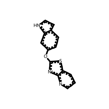 c1cnc2nc(Oc3ccc4cc[nH]c4c3)sc2c1